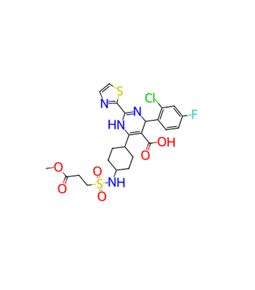 COC(=O)CCS(=O)(=O)NC1CCC(C2=C(C(=O)O)C(c3ccc(F)cc3Cl)N=C(c3nccs3)N2)CC1